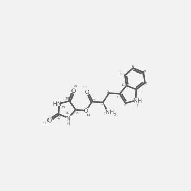 N[C@H](Cc1c[nH]c2ccccc12)C(=O)OC1NC(=O)NC1=O